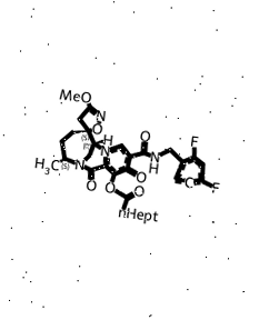 CCCCCCCC(=O)Oc1c2n(cc(C(=O)NCc3ccc(F)cc3F)c1=O)[C@@H]1CN(C2=O)[C@@H](C)CC[C@]12CC(OC)=NO2